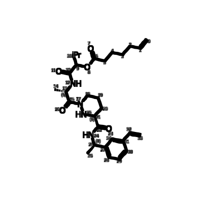 C=CCCCCC(=O)OC(C(=O)N[C@@H](C)C(=O)N1CCC[C@@H](C(=O)N[C@H](C)c2cccc(C=C)c2)N1)C(C)C